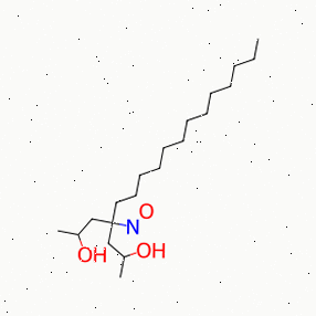 CCCCCCCCCCCCCC(CC(C)O)(CC(C)O)N=O